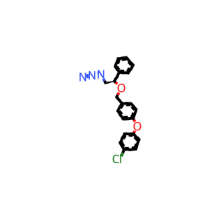 [N-]=[N+]=NC[C@H](OCc1ccc(Oc2ccc(Cl)cc2)cc1)c1ccccc1